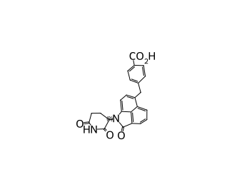 O=C1CC[C@@H](N2C(=O)c3cccc4c(Cc5ccc(C(=O)O)cc5)ccc2c34)C(=O)N1